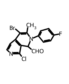 CC1=C(Br)c2ccnc(Cl)c2C(C=O)N1c1ccc(F)cc1